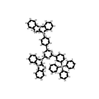 c1ccc([Si](c2ccccc2)(c2ccccc2)c2cccc(-c3nc(-c4ccc(-n5c6ccccc6n6c7ccccc7nc56)cc4)nc(-n4c5ccccc5n5c6ccccc6nc45)n3)c2)cc1